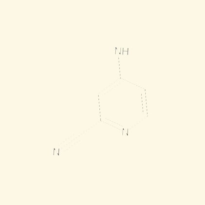 N#Cc1cc([NH])ccn1